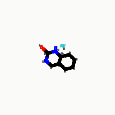 F.O=c1ncc2ccccc2[nH]1